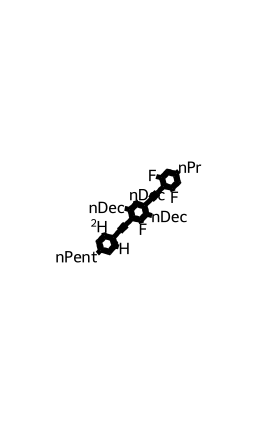 [2H]c1cc(CCCCC)cc([2H])c1C#Cc1c(F)c(CCCCCCCCCC)c(C#Cc2c(F)cc(CCC)cc2F)c(CCCCCCCCCC)c1CCCCCCCCCC